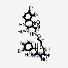 O/N=C(\Nc1ccc(F)c(Br)c1)c1nonc1NOCCONc1nonc1/C(=N/O)Nc1ccc(F)c(Br)c1